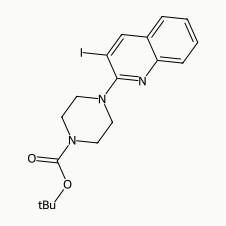 CC(C)(C)OC(=O)N1CCN(c2nc3ccccc3cc2I)CC1